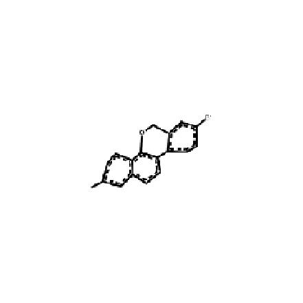 Cc1ccc2c3c(ccc2c1)-c1ccc(Br)cc1CO3